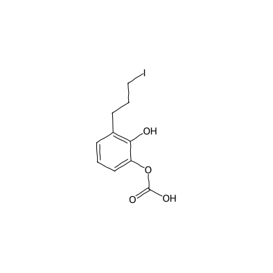 O=C(O)Oc1cccc(CCCI)c1O